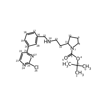 CC(C)(C)OC(=O)N1CCCC1CCNCc1cccc(-c2ccnc(Cl)n2)c1